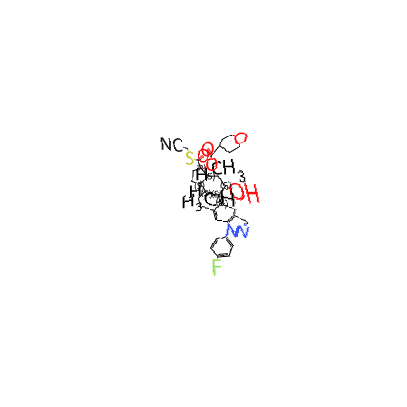 C[C@]12C[C@H](O)[C@H]3[C@@H](CCC4=Cc5c(cnn5-c5ccc(F)cc5)C[C@]43C)[C@@H]1CC[C@]2(OC(=O)C1CCOCC1)C(=O)SCC#N